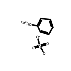 O=S(=O)([O-])[O-].Oc1ccccc1.[Ca+2]